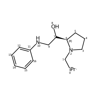 C[C](C)CN1CCC[C@@H]1C(O)CNc1ccccc1